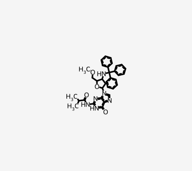 COCC1OC(n2cnc3c(=O)[nH]c(NC(=O)C(C)C)nc32)CC1NC(c1ccccc1)(c1ccccc1)c1ccccc1